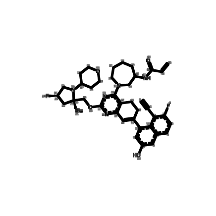 C#Cc1c(F)ccc2cc(O)cc(C3=Cc4nc(OC[C@]5(C(C)(C)C)C[C@@H](F)CN5C5CCOCC5)nc(N5CCCCC(NC(=O)C=C)C5)c4CC3)c12